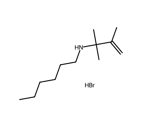 Br.C=C(C)C(C)(C)NCCCCCC